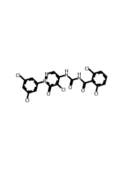 O=C(NC(=O)c1c(Cl)cccc1Cl)Nc1cnn(-c2cc(Cl)cc(Cl)c2)c(=O)c1Cl